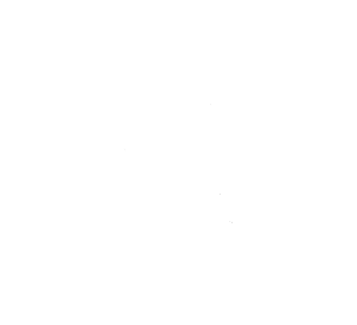 Cc1ccc(-c2cc(COCC3(c4ccccc4)CCNCC3)cc(C(F)(F)F)c2)c2ccccc12